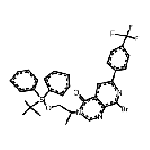 CC(CO[Si](c1ccccc1)(c1ccccc1)C(C)(C)C)n1cnc2c(Br)nc(-c3ccc(C(F)(F)F)cc3)cc2c1=O